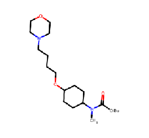 CC(C)COC(=O)N(C)C1CCC(OCCCCN2CCOCC2)CC1